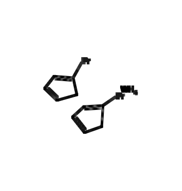 CC(C)C1=CC=CC1.CC(C)C1=CC=CC1.[WH4]